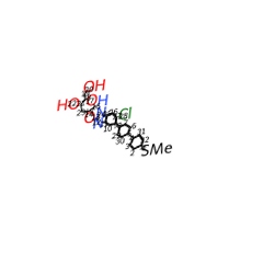 CSc1ccc(-c2ccc(-c3cc4nc(O[C@H]5CO[C@H](CO)[C@@H](O)C5)[nH]c4cc3Cl)cc2)cc1